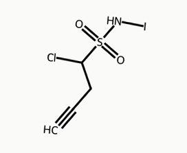 C#CCC(Cl)S(=O)(=O)NI